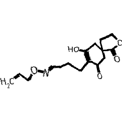 C=CCON=CCCCC1=C(O)CC2(CCOC2=O)CC1=O